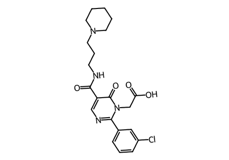 O=C(O)Cn1c(-c2cccc(Cl)c2)ncc(C(=O)NCCCN2CCCCC2)c1=O